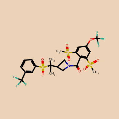 CC(C)(C1CN(C(=O)c2c(S(C)(=O)=O)cc(OC(F)(F)F)cc2S(C)(=O)=O)C1)S(=O)(=O)c1cccc(C(F)(F)F)c1